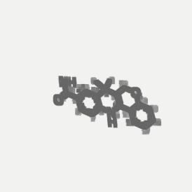 CC1(C)C2=C(Nc3ccc(C(N)=O)cc31)c1ccccc1OC2